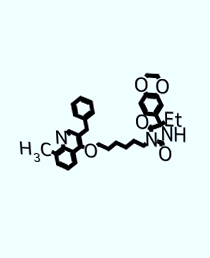 CCC1(c2ccc3c(c2)OCCO3)NC(=O)N(CCCCCCOc2c(Cc3ccccc3)cnc3c(C)cccc23)C1=O